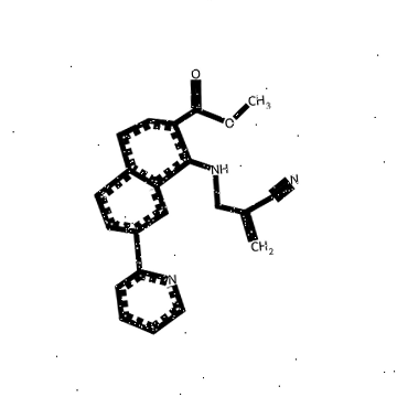 C=C(C#N)CNc1c(C(=O)OC)ccc2ccc(-c3ccccn3)cc12